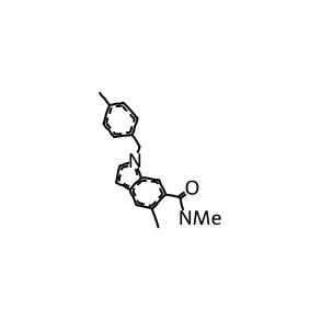 CNC(=O)c1cc2c(ccn2Cc2ccc(C)cc2)cc1C